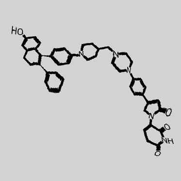 O=C1CCC(N2CC(c3ccc(N4CCN(CC5CCN(c6ccc([C@@H]7c8ccc(O)cc8CC[C@@H]7c7ccccc7)cc6)CC5)CC4)cc3)=CC2=O)C(=O)N1